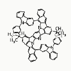 CC(C)(C)c1cc2c3cc4ccccc4c(-c4ccc5c(c4)c4ccccc4n5-c4ccccc4)c3n3c4cc5c6cc(C(C)(C)C)cc7c8cc9ccccc9c(-c9ccc%10c(c9)c9ccccc9n%10-c9ccccc9)c8n(c5nc4c(c1)c23)c67